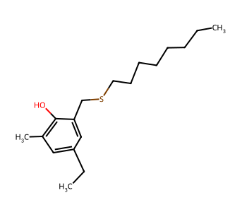 CCCCCCCCSCc1cc(CC)cc(C)c1O